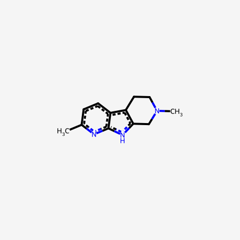 Cc1ccc2c3c([nH]c2n1)CN(C)CC3